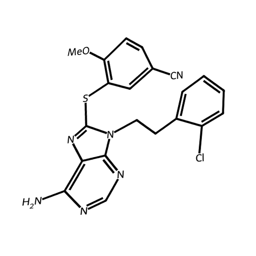 COc1ccc(C#N)cc1Sc1nc2c(N)ncnc2n1CCc1ccccc1Cl